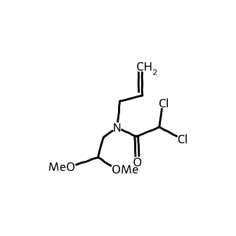 C=CCN(CC(OC)OC)C(=O)C(Cl)Cl